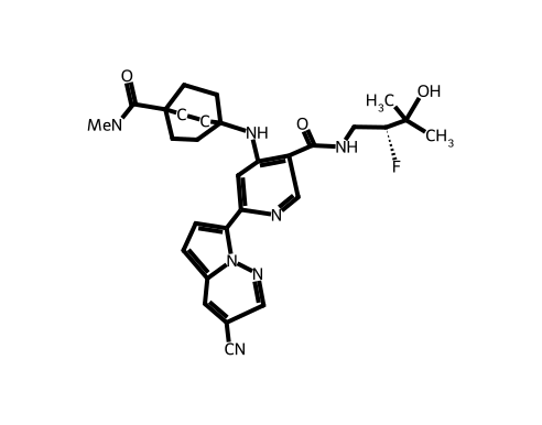 CNC(=O)C12CCC(Nc3cc(-c4ccc5cc(C#N)cnn45)ncc3C(=O)NC[C@@H](F)C(C)(C)O)(CC1)CC2